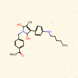 COC(=O)c1ccc(CN2C(O)C(C#N)=C(c3ccc(NCCCCOC(C)=O)cc3)C2O)cc1